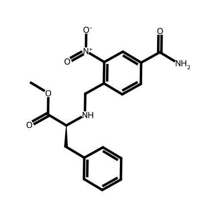 COC(=O)[C@H](Cc1ccccc1)NCc1ccc(C(N)=O)cc1[N+](=O)[O-]